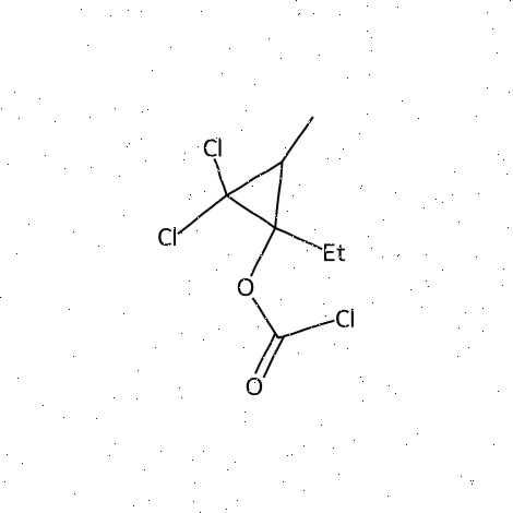 CCC1(OC(=O)Cl)C(C)C1(Cl)Cl